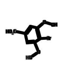 O=C(O)c1cc(OO)c(Br)c(OO)c1